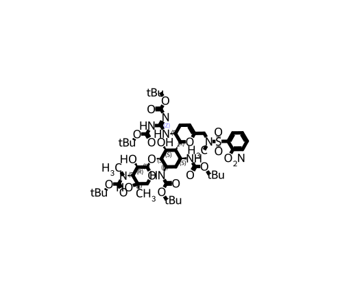 CN(C(=O)OC(C)(C)C)[C@@H]1[C@@H](O)[C@@H](O[C@H]2[C@H](NC(=O)OC(C)(C)C)C[C@H](NC(=O)OC(C)(C)C)C([C@H]3OC(CN(C)S(=O)(=O)c4ccccc4[N+](=O)[O-])=CC[C@H]3N/C(=N/C(=O)OC(C)(C)C)NC(=O)OC(C)(C)C)[C@@H]2O)OC[C@]1(C)O